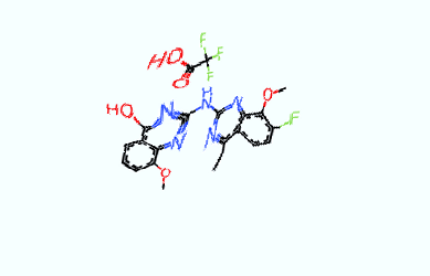 COc1cccc2c(O)nc(Nc3nc(C)c4ccc(F)c(OC)c4n3)nc12.O=C(O)C(F)(F)F